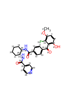 COc1ccc(O)c(C(=O)c2ccc(C(=O)N[C@@H]3CCCC[C@H]3NC(=O)c3ccncc3)cc2)c1F